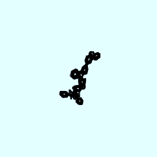 C1=Cc2c(oc3ccc(-c4ccc5c(c4)c4ccccc4n5-c4ccc5oc6cc(-c7nc(-c8ccccc8)nc(-c8ccccc8)n7)ccc6c5c4)cc23)CC1